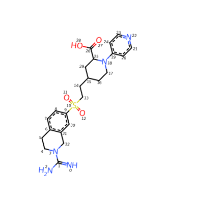 N=C(N)N1CCc2ccc(S(=O)(=O)CCC3CCN(c4ccncc4)C(C(=O)O)C3)cc2C1